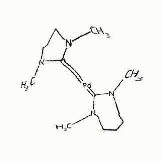 CN1CCN(C)[C]1=[Pd]=[C]1N(C)CCN1C